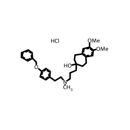 COc1cc2c(cc1OC)CCC(O)(CCCN(C)CCc1ccc(OCc3ccccc3)cc1)CC2.Cl